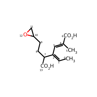 CC=C(C=C(C)C(=O)O)C(CCC1CO1)C(=O)O